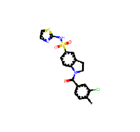 Cc1ccc(C(=O)N2CCc3cc(S(=O)(=O)Nc4nccs4)ccc32)cc1Cl